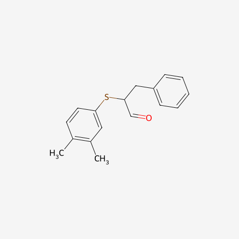 Cc1ccc(SC(C=O)Cc2ccccc2)cc1C